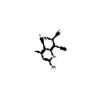 CC1=C(C#N)C(=C(C#N)C(O)C#N)NC(O)=C1